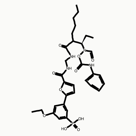 CCCCCC(C(=O)NCNC(=O)c1ccc(-c2cc(OCC)cc(P(=O)(O)O)c2)o1)[C@@H](CC)N(C=O)OC(=O)Nc1ccccc1